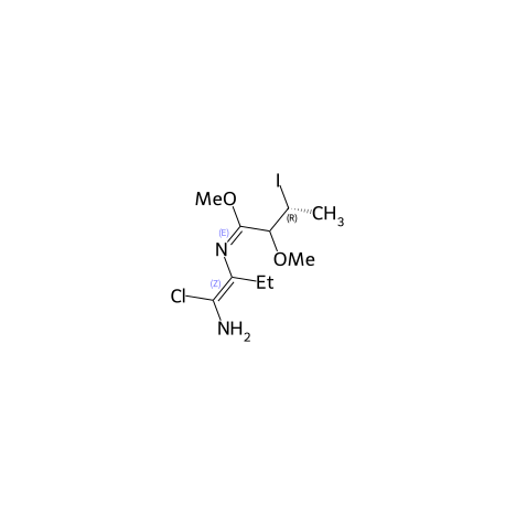 CCC(/N=C(/OC)C(OC)[C@@H](C)I)=C(\N)Cl